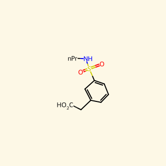 CCCNS(=O)(=O)c1cccc(CC(=O)O)c1